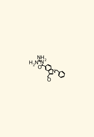 NC(N)=NC(=O)c1ccc2c(c1)c(C=O)cn2Cc1ccccc1